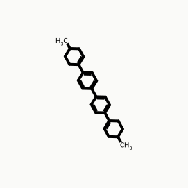 CC1CC=C(c2ccc(-c3ccc(C4=CCC(C)CC4)cc3)cc2)CC1